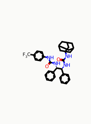 O=C(Nc1ccc(C(F)(F)F)cc1)N[C@@H](c1ccccc1)[C@@H](NC(=O)NC12CC3CC(CC(C3)C1)C2)c1ccccc1